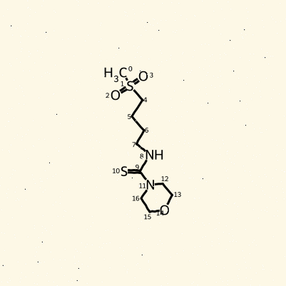 CS(=O)(=O)CCCCNC(=S)N1CCOCC1